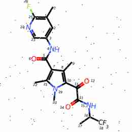 Cc1cc(NC(=O)c2c(C)c(C(=O)C(=O)NC(C)C(F)(F)F)n(C)c2C)cnc1F